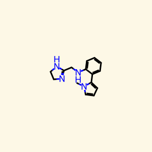 Cn1cccc1-c1ccccc1NCC1=NCCN1